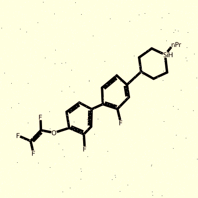 CCC[SiH]1CCC(c2ccc(-c3ccc(OC(F)=C(F)F)c(F)c3)c(F)c2)CC1